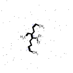 C=C/C(C/C=C\C)=C(\CC/C=C\C)N(CC)CC